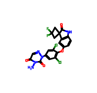 Nn1c(=O)cnn(-c2cc(Cl)c(Oc3ccc4c(c3)C3(CC(F)(F)C3)C(=O)N4)c(Cl)c2)c1=O